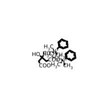 C[N+](C)(C)c1ccccc1.C[N+](C)(C)c1ccccc1.O=C([O-])CC(O)(CC(=O)[O-])C(=O)O